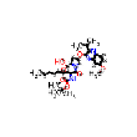 C=CCCCCCC(NC(=O)OC(C)(C)C)C(=O)N1C[C@H](Oc2nc3cc(OC)ccc3nc2C(C)C)C[C@H]1C(=O)O